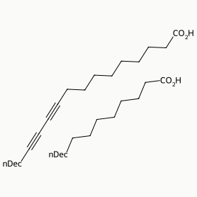 CCCCCCCCCCC#CC#CCCCCCCCCC(=O)O.CCCCCCCCCCCCCCCCCC(=O)O